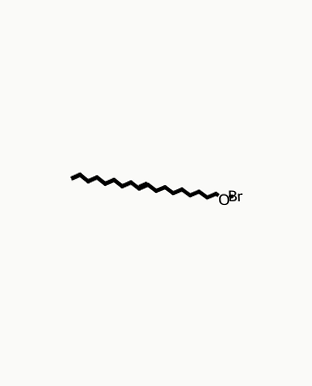 CCCCCCCCC=CCCCCCCCCOBr